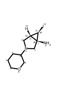 N[C@@]12CN(C3CCCOC3)C[C@@H]1[C@H]2I